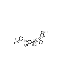 O=C(NS(=O)(=O)c1ccc(NCc2cccc(OC(F)F)c2)c([N+](=O)[O-])c1)c1ccccc1Oc1cnc2[nH]ccc2c1